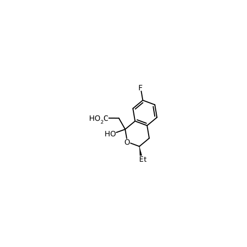 CC[C@@H]1Cc2ccc(F)cc2C(O)(CC(=O)O)O1